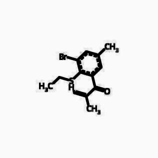 CC[SH]1C=C(C)C(=O)c2cc(C)cc(Br)c21